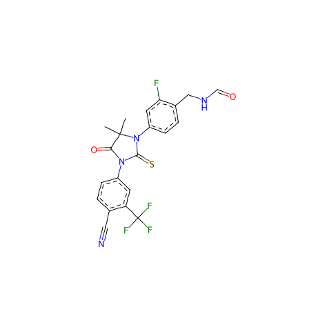 CC1(C)C(=O)N(c2ccc(C#N)c(C(F)(F)F)c2)C(=S)N1c1ccc(CNC=O)c(F)c1